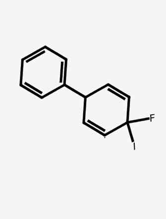 FC1(I)[C]=CC(c2ccccc2)C=C1